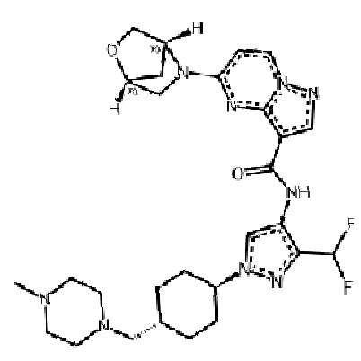 CN1CCN(C[C@H]2CC[C@H](n3cc(NC(=O)c4cnn5ccc(N6C[C@H]7C[C@@H]6CO7)nc45)c(C(F)F)n3)CC2)CC1